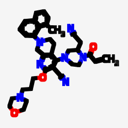 C=CC(=O)N1CCN(c2c(C#N)c(OCCCN3CCOCC3)nc3c2CCN(c2cccc4cccc(C)c24)C3)CC1CC#N